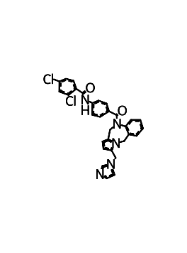 O=C(Nc1ccc(C(=O)N2Cc3ccc(Cn4ccnc4)n3Cc3ccccc32)cc1)c1ccc(Cl)cc1Cl